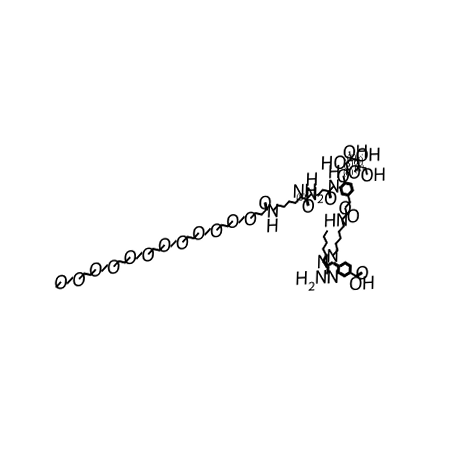 CCCCc1nc2c(N)nc3cc(C(=O)O)ccc3c2n1CCCCCNC(=O)OCc1ccc(O[C@H]2O[C@H](CO)[C@@H](O)[C@H](O)[C@@H]2O)c(NC(=O)CCNC(=O)[C@@H](N)CCCCNC(=O)CCOCCOCCOCCOCCOCCOCCOCCOCCOCCOCCOCCOC)c1